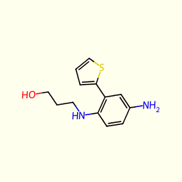 Nc1ccc(NCCCO)c(-c2cccs2)c1